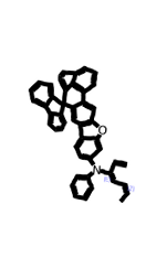 C=C/C(=C\C=C/C)N(c1ccccc1)c1ccc2c(c1)oc1cc3c(cc12)C1(c2ccccc2-c2ccccc21)c1cccc2cccc-3c12